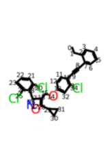 CCc1cc[c]cc1C#Cc1ccc(OCc2c(-c3c(Cl)cccc3Cl)noc2C2CC2)cc1Cl